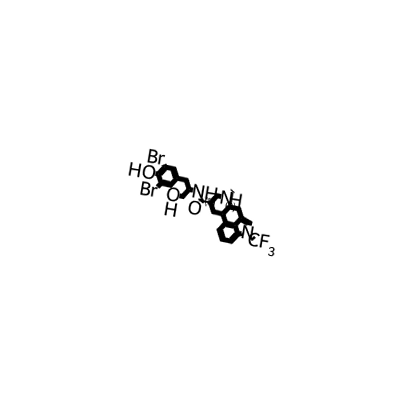 CN1C[C@H](C(=O)NC(CO)Cc2cc(Br)c(O)c(Br)c2)CC2c3cccc4c3c(cn4C(F)(F)F)C[C@H]21